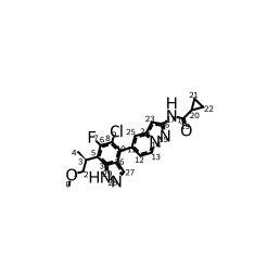 COC[C@@H](C)c1c(F)c(Cl)c(-c2ccn3nc(NC(=O)C4CC4)cc3c2)c2cn[nH]c12